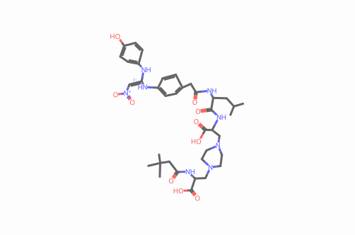 CC(C)CC(NC(=O)Cc1ccc(N/C(=C\[N+](=O)[O-])Nc2ccc(O)cc2)cc1)C(=O)NC(CN1CCN(CC(NC(=O)CC(C)(C)C)C(=O)O)CC1)C(=O)O